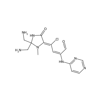 CN1/C(=C(Cl)\C=C(/C=O)Nc2ccncn2)C(=O)NC1(CN)CN